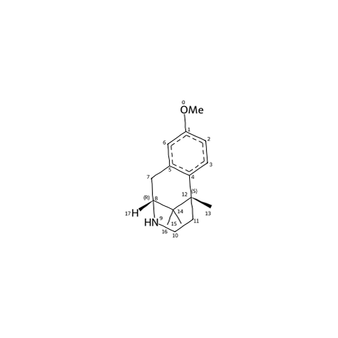 COc1ccc2c(c1)C[C@H]1NCC[C@]2(C)C1(C)C